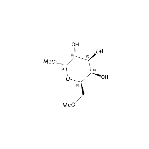 COC[C@H]1O[C@H](OC)[C@H](O)[C@@H](O)[C@H]1O